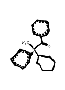 C[Si](C(=O)c1ccccc1)(c1ccccc1)C1CCCCC1